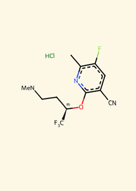 CNCC[C@@H](Oc1nc(C)c(F)cc1C#N)C(F)(F)F.Cl